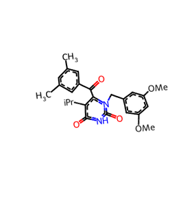 COc1cc(Cn2c(C(=O)c3cc(C)cc(C)c3)c(C(C)C)c(=O)[nH]c2=O)cc(OC)c1